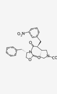 O=C(O)N1CC[C@H]([C@H](Cc2cccc([N+](=O)[O-])c2)C(=O)N2C(=O)OC[C@@H]2Cc2ccccc2)C1